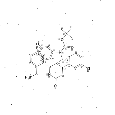 BCc1ccc(F)cc1[C@H]1NC(=O)C[C@@H](C2C=C(Cl)C=CC2)[C@]12C(=O)N(C(=O)OC(C)(C)C)c1cc(Cl)ccc12